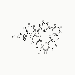 Cc1ccc(NS(=O)(=O)Cc2ccccc2)cc1Oc1ncccc1-c1ccnc(N[C@H]2CCCN(C(=O)OC(C)(C)C)C2)n1